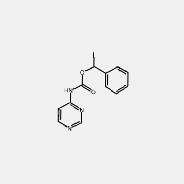 CC(OC(=O)Nc1ccncn1)c1ccccc1